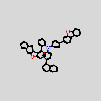 c1ccc(N(c2ccc(-c3ccc4c(c3)oc3ccccc34)cc2)c2ccc(-c3cccc4ccccc34)cc2)c(-c2cccc3oc4cc5ccccc5cc4c23)c1